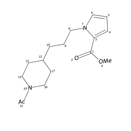 COC(=O)c1cccn1CCCC1CCN(C(C)=O)CC1